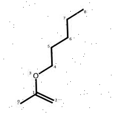 [CH2]C(=C)OCCCCC